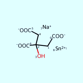 O=C([O-])CC(O)(CC(=O)[O-])C(=O)[O-].[Na+].[Sn+2]